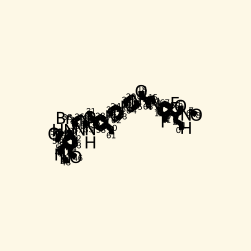 CCCC(C(=O)NC=O)c1c(F)cc(N2CC(C(=O)N3CCN(C4CCN(c5cc(OC)c(Nc6ncc(Br)c(Nc7ccc8c(=O)n(C)ncc8c7P(C)(C)=O)n6)cc5CC)CC4)CC3)C2)cc1F